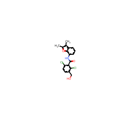 Cc1oc2c(NC(=O)c3c(Cl)ccc(CO)c3Cl)cccc2c1C